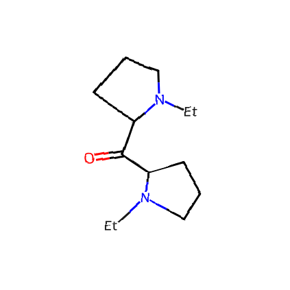 CCN1CCCC1C(=O)C1CCCN1CC